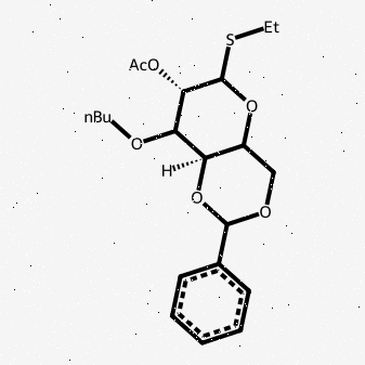 CCCCOC1[C@@H]2OC(c3ccccc3)OCC2OC(SCC)[C@H]1OC(C)=O